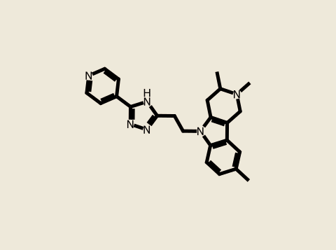 Cc1ccc2c(c1)c1c(n2CCc2nnc(-c3ccncc3)[nH]2)CC(C)N(C)C1